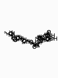 CCc1ccnc(N2CCOC3(CCN(Cc4cccc(CCOCCC(=O)N(C)CCNC[C@H](O[Si](C)(C)C(C)(C)C)c5ccc(O)c6c5OCC(=O)N6)c4)CC3)C2)c1